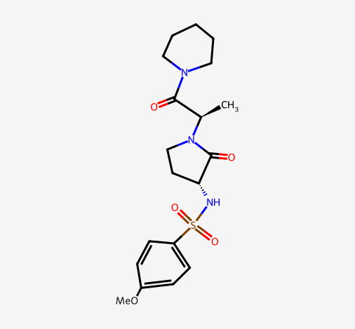 COc1ccc(S(=O)(=O)N[C@@H]2CCN([C@H](C)C(=O)N3CCCCC3)C2=O)cc1